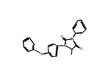 CC1C(=O)N(c2ccccc2)C(=S)N1c1ccc(Sc2ccccc2)cc1